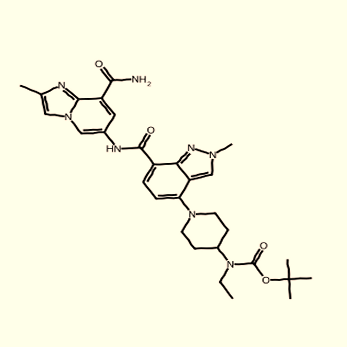 CCN(C(=O)OC(C)(C)C)C1CCN(c2ccc(C(=O)Nc3cc(C(N)=O)c4nc(C)cn4c3)c3nn(C)cc23)CC1